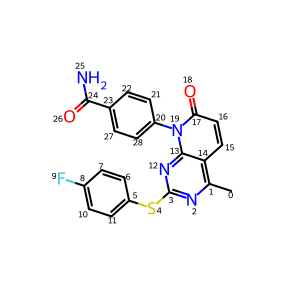 Cc1nc(Sc2ccc(F)cc2)nc2c1ccc(=O)n2-c1ccc(C(N)=O)cc1